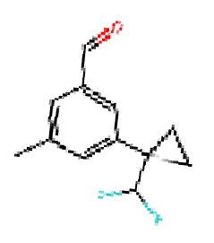 Cc1cc(C=O)cc(C2(C(F)F)CC2)c1